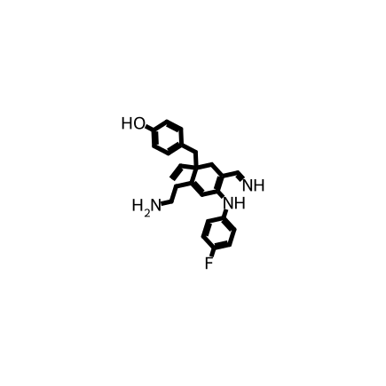 C=CC1(Cc2ccc(O)cc2)CC(C=N)=C(Nc2ccc(F)cc2)C=C1CCN